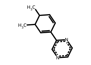 CC1C=CC(c2cnccn2)=CC1C